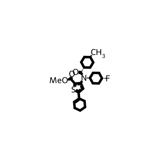 COC(=O)c1sc(C2=CCCCC2)cc1N(C(=O)[C@H]1CC[C@H](C)CC1)[C@H]1CC[C@@H](F)CC1